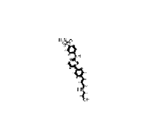 NS(=O)(=O)c1ccc(Nc2nccc(-c3ccc(C=CCNCCO)cc3)n2)cc1